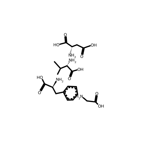 CC(C)[C@H](N)C(=O)O.NCC(=O)O.N[C@@H](CC(=O)O)C(=O)O.N[C@@H](Cc1ccccc1)C(=O)O